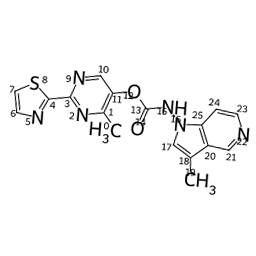 Cc1nc(-c2nccs2)ncc1OC(=O)Nn1cc(C)c2cnccc21